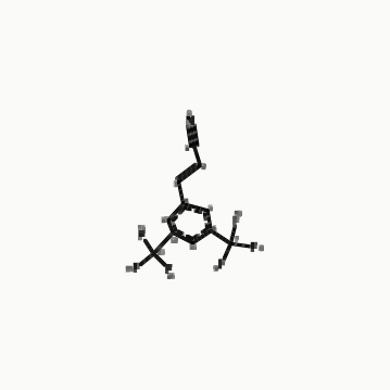 N#C/C=C/c1cc(C(F)(F)F)cc(C(F)(F)F)c1